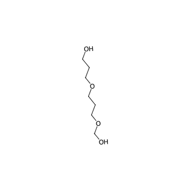 OCCCOCCCOCO